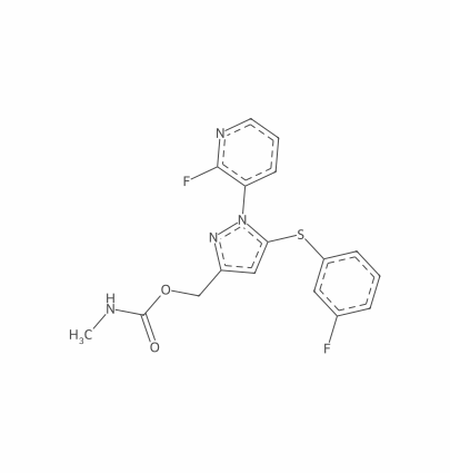 CNC(=O)OCc1cc(Sc2cccc(F)c2)n(-c2cccnc2F)n1